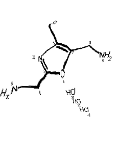 Cc1nc(CN)oc1CN.Cl.Cl.Cl